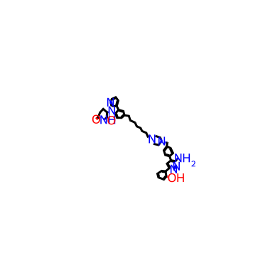 Nc1nnc(-c2ccccc2O)cc1-c1ccc(CN2CCN(CCCCCCCCc3ccc4c(c3)c3cccnc3n4C3CCC(=O)NC3=O)CC2)cc1